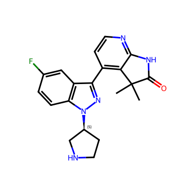 CC1(C)C(=O)Nc2nccc(-c3nn([C@H]4CCNC4)c4ccc(F)cc34)c21